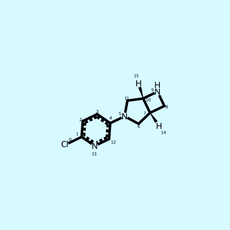 Clc1ccc(N2C[C@H]3CN[C@H]3C2)cn1